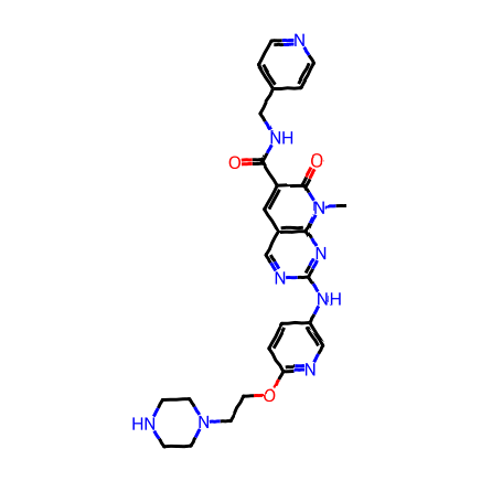 Cn1c(=O)c(C(=O)NCc2ccncc2)cc2cnc(Nc3ccc(OCCN4CCNCC4)nc3)nc21